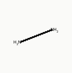 NCCCCCCCCCCCCCCCCCCCCCCCCCCCCCN